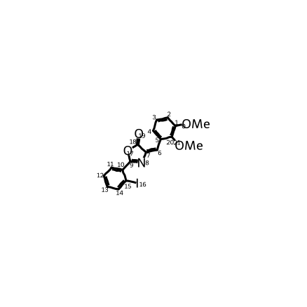 COc1cccc(C=C2N=C(c3ccccc3I)OC2=O)c1OC